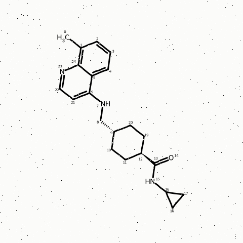 Cc1cccc2c(NC[C@H]3CC[C@H](C(=O)NC4CC4)CC3)ccnc12